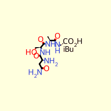 CC[C@H](C)[C@H](NC(=O)[C@H](C)NC(=O)[C@H](CO)NC(=O)[C@@H](N)CC(N)=O)C(=O)O